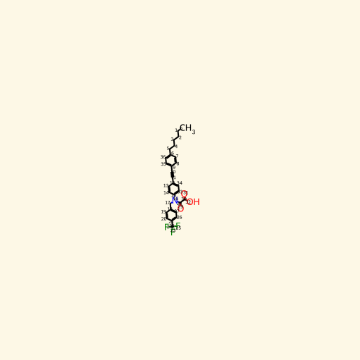 CCCCCCc1ccc(C#Cc2ccc(N(Cc3ccc(C(F)(F)F)cc3)C(=O)C(=O)O)cc2)cc1